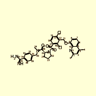 Cc1cc(C)c2cccc(OCc3c(Cl)ccc(S(=O)(=O)N4CCC[C@H]4C(=O)N(C)Cc4ccc(C(=N)N)cc4)c3Cl)c2n1